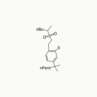 CCCCCC(C)(C)c1ccc(CCS(=O)(=O)C(C)CCCC)c([S])c1